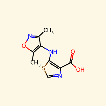 Cc1noc(C)c1Nc1scnc1C(=O)O